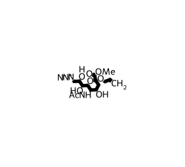 C=CCO[C@]1(C(=O)OC)C[C@@H](O)[C@H](NC(C)=O)C([C@H](O)[C@H](O)CN=[N+]=[N-])O1